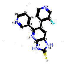 Fc1cnccc1-c1cc2[nH]c(=S)[nH]c2nc1-c1cccnc1